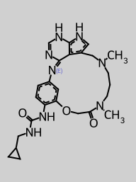 CN1CCCN(C)C(=O)COc2cc(ccc2NC(=O)NCC2CC2)/N=C2/N=CNc3[nH]cc(c32)C1